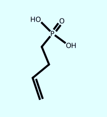 C=CCCP(=O)(O)O